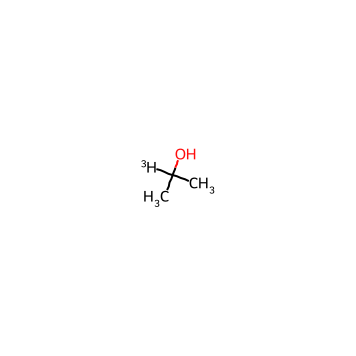 [3H]C(C)(C)O